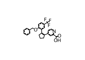 O=C(O)c1cc(C2=C(c3cc(C(F)(F)F)ccc3OCc3ccccc3)CCC2)ccn1